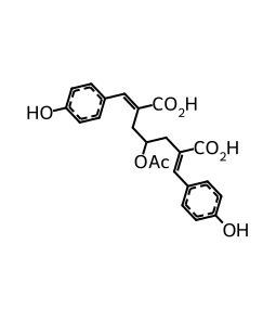 CC(=O)OC(CC(=Cc1ccc(O)cc1)C(=O)O)CC(=Cc1ccc(O)cc1)C(=O)O